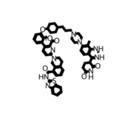 CNc1c(C(=N)C2CCC(=O)NC2=O)ccc(N2CCN(CCCC3CCC(Oc4cccc(-c5ccc(N6CCc7cccc(C(=O)Nc8nc9ccccc9s8)c7C6)nc5C(=O)O)c4C)CC3)CC2)c1C